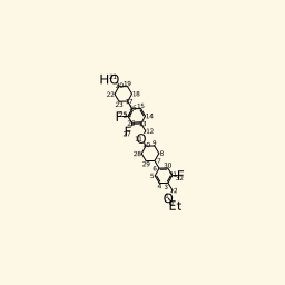 CCOCc1ccc(C2CCC(OCc3ccc(C4CCC(O)CC4)c(F)c3F)CC2)cc1F